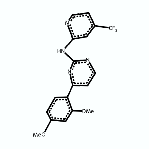 COc1ccc(-c2ccnc(Nc3cc(C(F)(F)F)ccn3)n2)c(OC)c1